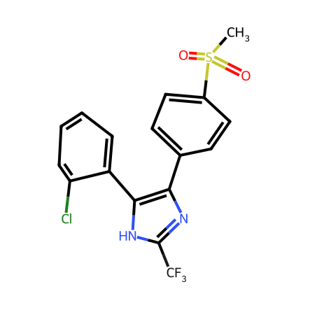 CS(=O)(=O)c1ccc(-c2nc(C(F)(F)F)[nH]c2-c2ccccc2Cl)cc1